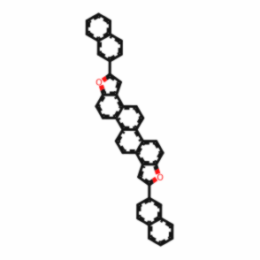 c1ccc2cc(-c3cc4c(ccc5c4ccc4c6ccc7oc(-c8ccc9ccccc9c8)cc7c6ccc54)o3)ccc2c1